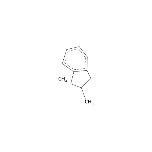 C.CC1Cc2ccccc2C1